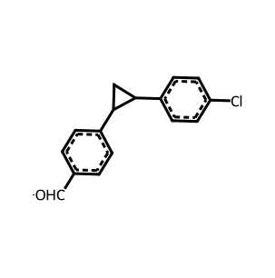 O=[C]c1ccc(C2CC2c2ccc(Cl)cc2)cc1